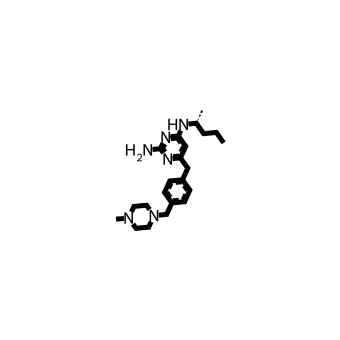 CCC[C@@H](C)Nc1cc(Cc2ccc(CN3CCN(C)CC3)cc2)nc(N)n1